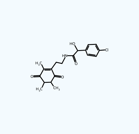 CC1=C(CCNC(=O)C(O)c2ccc(Cl)cc2)C(=O)C(C)C(C)C1=O